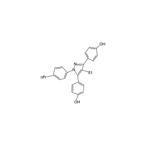 CCCc1ccc(-n2nc(-c3ccc(O)cc3)c(CC)c2-c2ccc(O)cc2)cc1